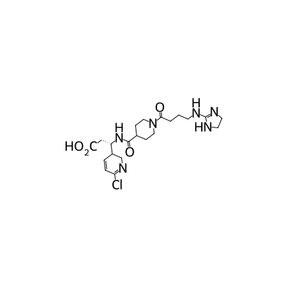 O=C(O)C[C@H](NC(=O)C1CCN(C(=O)CCCNC2=NCCN2)CC1)C1C=CC(Cl)=NC1